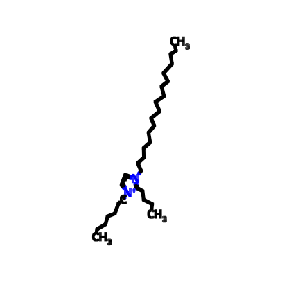 CCCCCCCCCCCCCCCCCCn1cc[n+](CCCCCCC)c1CCCC